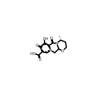 C[C@@H]1CCOC2Cn3cc(C(=O)O)c(=O)c(O)c3C(=O)N21